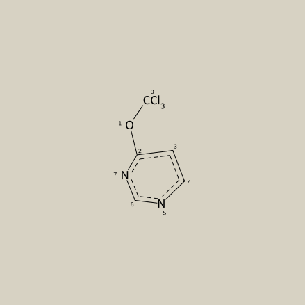 ClC(Cl)(Cl)Oc1ccncn1